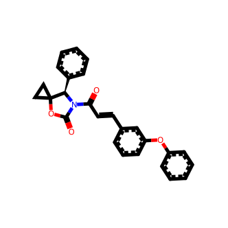 O=C(/C=C/c1cccc(Oc2ccccc2)c1)N1C(=O)OC2(CC2)[C@H]1c1ccccc1